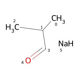 CC(C)C=O.[NaH]